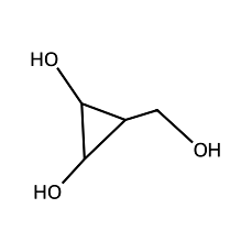 OCC1C(O)C1O